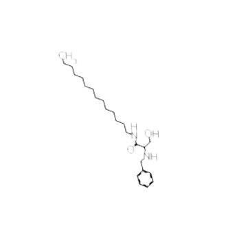 CCCCCCCCCCCCCCNC(=O)C(CO)NCc1ccccc1